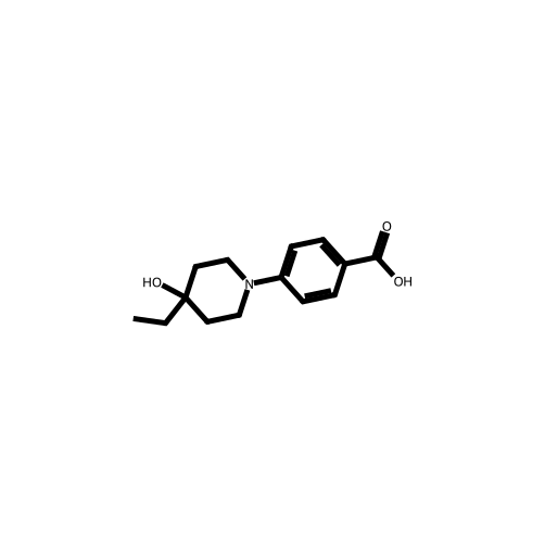 CCC1(O)CCN(c2ccc(C(=O)O)cc2)CC1